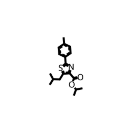 Cc1ccc(-c2nc(C(=O)OC(C)C)c(CC(C)C)s2)cc1